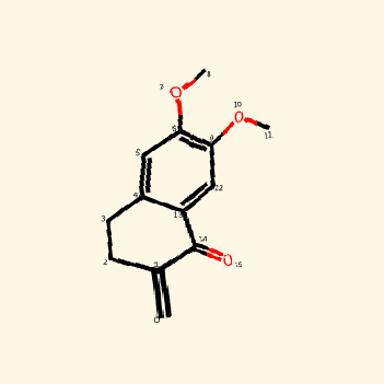 C=C1CCc2cc(OC)c(OC)cc2C1=O